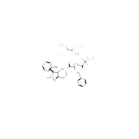 C=C1N(C)N=C2CCN(C(=O)C(NC(=O)C(C)(C)N)OCc3ccccc3)C[C@@]12Cc1ccccc1.O=C(O)C(O)C(O)C(=O)O